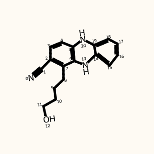 N#Cc1ccc2c(c1CCCCO)Nc1ccccc1N2